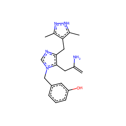 C=C(N)Cc1c(Cc2c(C)n[nH]c2C)ncn1Cc1cccc(O)c1